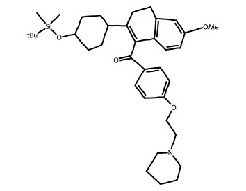 COc1ccc2c(c1)CCC(C1CCC(O[Si](C)(C)C(C)(C)C)CC1)=C2C(=O)c1ccc(OCCN2CCCCC2)cc1